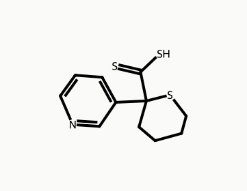 S=C(S)C1(c2cccnc2)CCCCS1